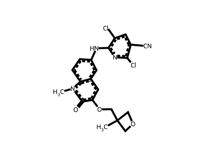 Cn1c(=O)c(OCC2(C)COC2)cc2cc(Nc3nc(Cl)c(C#N)cc3Cl)ccc21